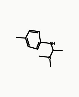 Cc1ccc(NC(C)N(C)C)cc1